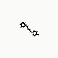 CC1CCN(CCCCc2ccccc2)CC1